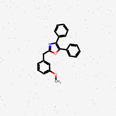 COc1cccc([CH]c2nc(-c3ccccc3)c(-c3ccccc3)o2)c1